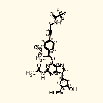 CC(=O)Nc1nc(OC(C)c2ccc(C#CCNC(=O)C(F)(F)F)cc2[N+](=O)[O-])c2ncn([C@H]3CC(O)[C@@H](CO)O3)c2n1